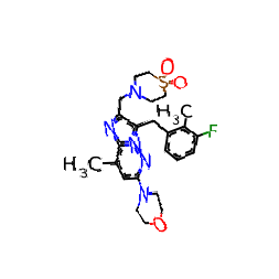 Cc1c(F)cccc1Cc1c(CN2CCS(=O)(=O)CC2)nc2c(C)cc(N3CCOCC3)nn12